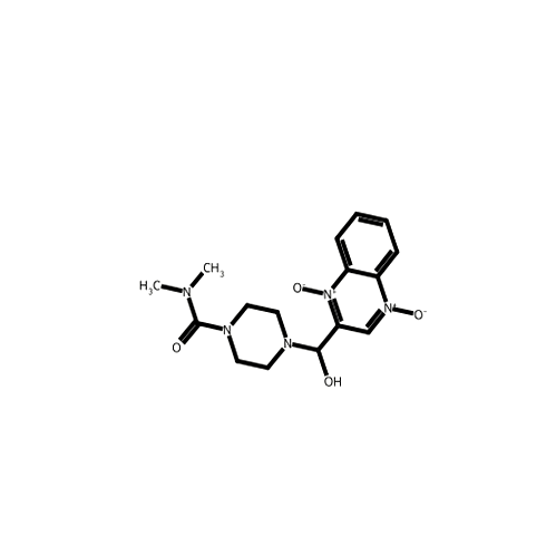 CN(C)C(=O)N1CCN(C(O)c2c[n+]([O-])c3ccccc3[n+]2[O-])CC1